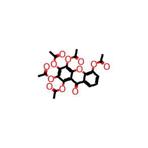 CC(=O)Oc1c(OC(C)=O)c(OC(C)=O)c2c(=O)c3cccc(OC(C)=O)c3oc2c1OC(C)=O